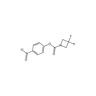 O=C(Oc1ccc([N+](=O)[O-])cc1)N1CC(F)(F)C1